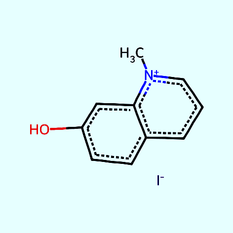 C[n+]1cccc2ccc(O)cc21.[I-]